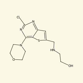 OCCNCc1cc2nc(Cl)nc(N3CCOCC3)c2s1